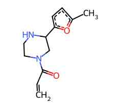 C=CC(=O)N1CCNC(c2ccc(C)o2)C1